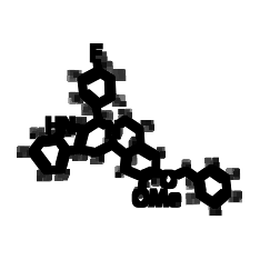 COc1cc2c(cc1OCc1ccccc1)CCN1C2Cc2c([nH]c3ccccc23)C1c1ccc(F)cc1